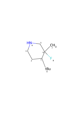 CC(C)(C)C1CCNCC1(C)F